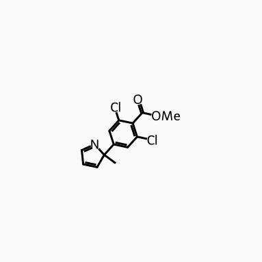 COC(=O)c1c(Cl)cc(C2(C)C=CC=N2)cc1Cl